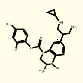 CC(=O)N1c2ccc(C(CN)CNC3CC3)cc2N(C(=O)Oc2ccc(C)cc2Cl)C[C@@H]1C